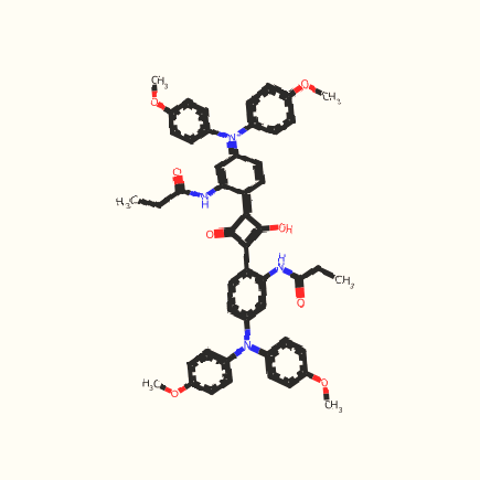 CCC(=O)NC1=CC(=[N+](c2ccc(OC)cc2)c2ccc(OC)cc2)C=C/C1=C1/C(=O)C(c2ccc(N(c3ccc(OC)cc3)c3ccc(OC)cc3)cc2NC(=O)CC)=C1O